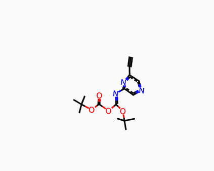 C#Cc1cncc(/N=C(/OC(=O)OC(C)(C)C)OC(C)(C)C)n1